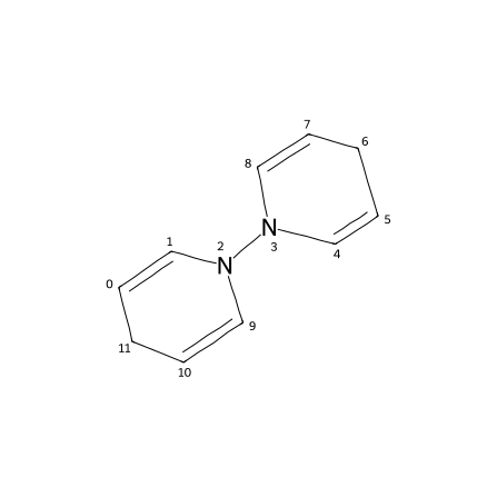 C1=CN(N2C=CCC=C2)C=CC1